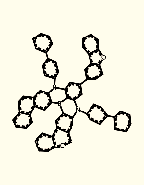 c1ccc(-c2ccc(N3c4cc5ccc6ccccc6c5cc4B4c5cc6c(ccc7ccccc76)cc5N(c5ccc(-c6ccccc6)cc5)c5cc(-c6ccc7oc8ccccc8c7c6)cc3c54)cc2)cc1